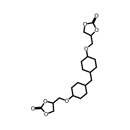 O=C1OCC(COC2CCC(CC3CCC(OCC4COC(=O)O4)CC3)CC2)O1